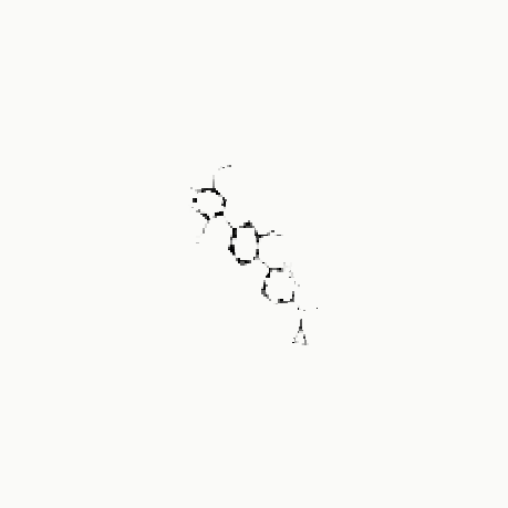 COc1cc(-c2ccc(-c3cnc(NC4CC4)nn3)c(O)c2)c(F)nn1